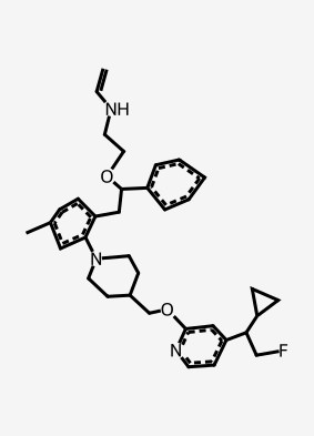 C=CNCCOC(Cc1ccc(C)cc1N1CCC(COc2cc(C(CF)C3CC3)ccn2)CC1)c1ccccc1